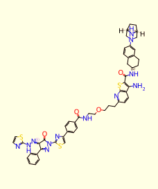 Nc1c(C(=O)N[C@H]2CCc3cc(N4C[C@H]5CC[C@@H](C4)N5)ccc3C2)sc2nc(CCCOCCNC(=O)c3ccc(-c4csc(N5N=C(c6ccccc6)/C(=N\Nc6nccs6)C5=O)n4)cc3)ccc12